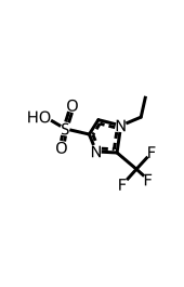 CCn1cc(S(=O)(=O)O)nc1C(F)(F)F